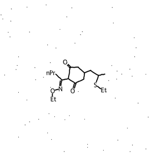 CCCC(=NOCC)C1C(=O)CC(CC(C)SCC)CC1=O